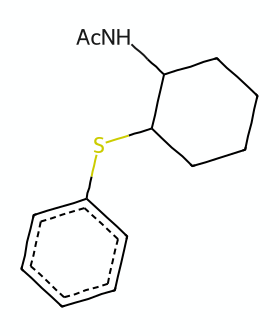 CC(=O)NC1CCCCC1Sc1ccccc1